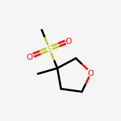 CC1(S(C)(=O)=O)CCOC1